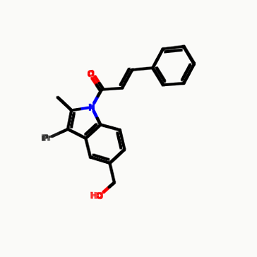 Cc1c(C(C)C)c2cc(CO)ccc2n1C(=O)C=Cc1ccccc1